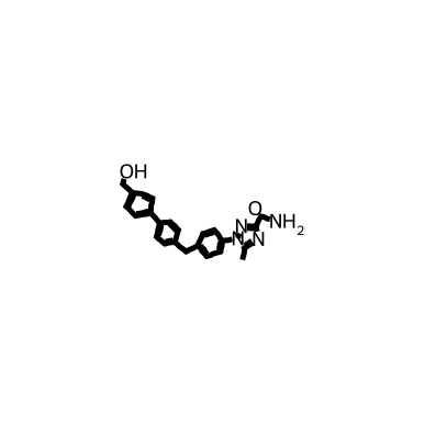 Cc1nc(C(N)=O)nn1-c1ccc(Cc2ccc(-c3ccc(CO)cc3)cc2)cc1